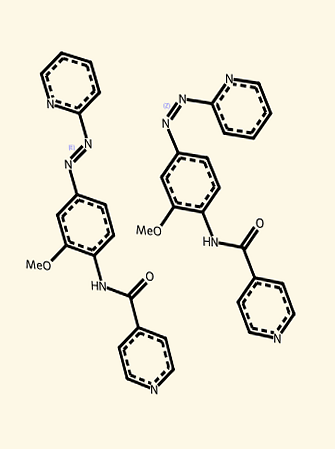 COc1cc(/N=N/c2ccccn2)ccc1NC(=O)c1ccncc1.COc1cc(/N=N\c2ccccn2)ccc1NC(=O)c1ccncc1